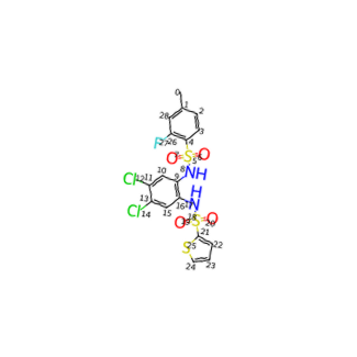 Cc1ccc(S(=O)(=O)Nc2cc(Cl)c(Cl)cc2NS(=O)(=O)c2cccs2)c(F)c1